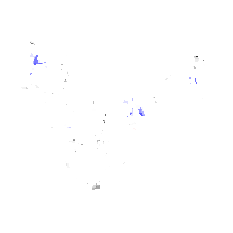 CCN(CC)CCNC(=O)c1cc(-c2ccncc2)nc2ccccc12